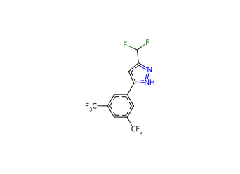 FC(F)c1cc(-c2cc(C(F)(F)F)cc(C(F)(F)F)c2)[nH]n1